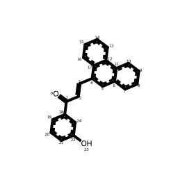 O=C(C=Cc1cc2ccccc2c2ccccc12)c1cccc(O)c1